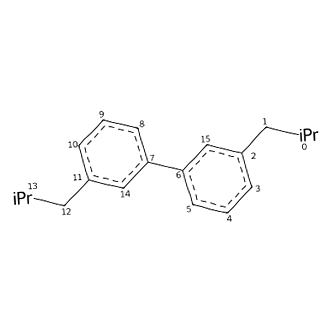 CC(C)Cc1cccc(-c2cccc(CC(C)C)c2)c1